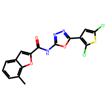 Cc1cccc2cc(C(=O)Nc3nnc(-c4cc(Cl)sc4Cl)o3)oc12